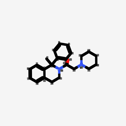 CC1(c2ccccc2)c2ccccc2CCN1C(=O)CN1CCCCC1